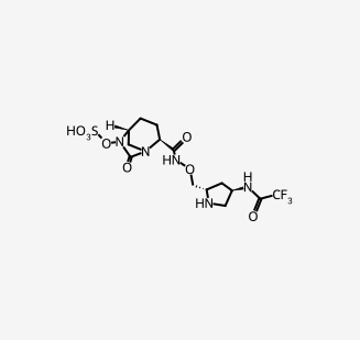 O=C(NOC[C@@H]1C[C@@H](NC(=O)C(F)(F)F)CN1)[C@@H]1CC[C@@H]2CN1C(=O)N2OS(=O)(=O)O